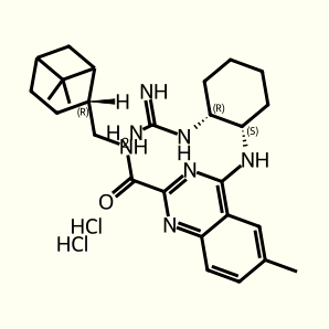 Cc1ccc2nc(C(=O)NC[C@@H]3CCC4CC3C4(C)C)nc(N[C@H]3CCCC[C@H]3NC(=N)N)c2c1.Cl.Cl